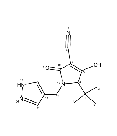 CC(C)(C)C1C(O)=C(C#N)C(=O)N1Cc1cn[nH]c1